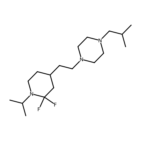 CC(C)CN1CCN(CCC2CCN(C(C)C)C(F)(F)C2)CC1